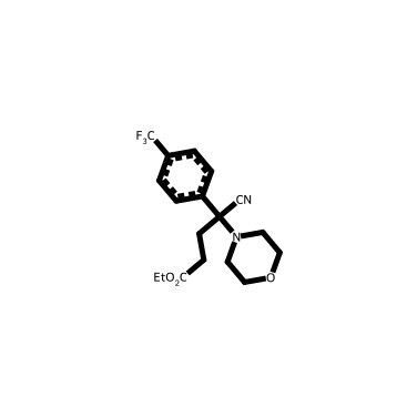 CCOC(=O)CCC(C#N)(c1ccc(C(F)(F)F)cc1)N1CCOCC1